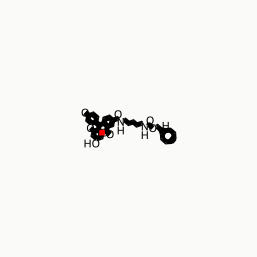 O=C(NCCCCCNC(=O)c1ccc(-c2c3ccc(=O)cc-3oc3cc(O)ccc23)c(C(=O)O)c1)OCC1C2CCC#CCC[C@@H]21